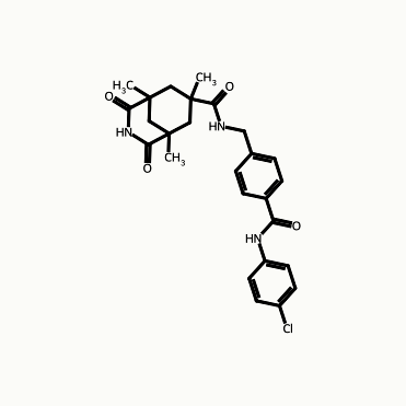 CC1(C(=O)NCc2ccc(C(=O)Nc3ccc(Cl)cc3)cc2)CC2(C)CC(C)(C1)C(=O)NC2=O